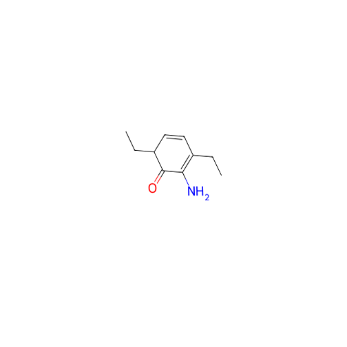 CCC1=C(N)C(=O)C(CC)C=C1